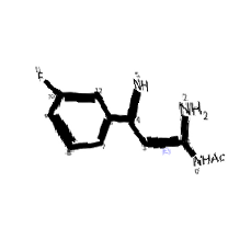 CC(=O)N/C(N)=C/C(=N)c1cccc(F)c1